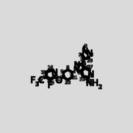 Cn1cc(-c2nn([C@H]3CC[C@@H](Oc4nccc(C(F)(F)F)c4F)CC3)c3cc(N)ncc23)cn1